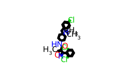 Cc1onc(-c2c(Cl)cccc2Cl)c1C(=O)NC1CCC(Cc2ccc(Cl)cc2)(N(C)C)CC1